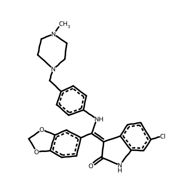 CN1CCN(Cc2ccc(NC(=C3C(=O)Nc4cc(Cl)ccc43)c3ccc4c(c3)OCO4)cc2)CC1